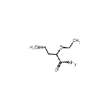 C=CCC(OCC)C(N)=O